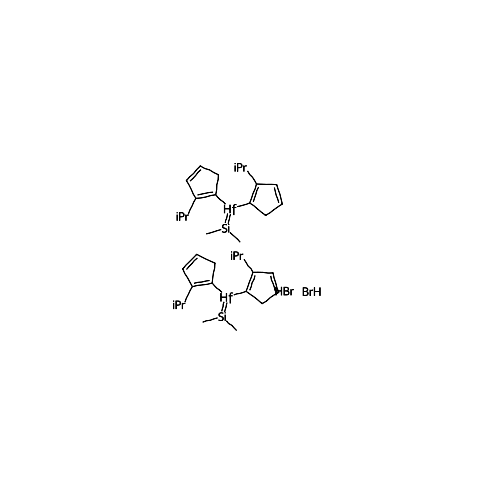 Br.Br.CC(C)C1=[C]([Hf]([C]2=C(C(C)C)C=CC2)=[Si](C)C)CC=C1.CC(C)C1=[C]([Hf]([C]2=C(C(C)C)C=CC2)=[Si](C)C)CC=C1